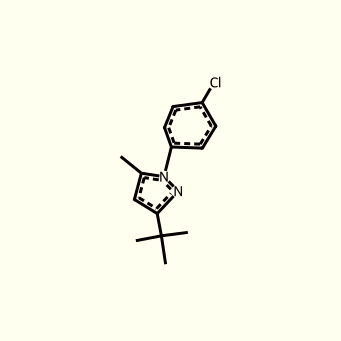 Cc1cc(C(C)(C)C)nn1-c1ccc(Cl)cc1